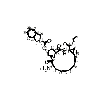 CCOC(=O)[C@@]12C[C@H]1/C=C\CCCCC[C@H](N)C(=O)N1C[C@H](OC(=O)N3Cc4ccccc4C3)C[C@H]1C(=O)N2